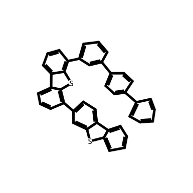 c1ccc(-c2ccc(-c3cccc(-c4cccc5c4sc4c(-c6ccc7c(c6)sc6ccccc67)cccc45)c3)cc2)cc1